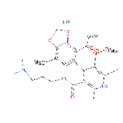 COC(=O)C1=C(C)NC(C)=C(C(=O)OCCCN(C)C)C1c1cc(OC)c2c(c1C(=O)OC)OCO2.Cl